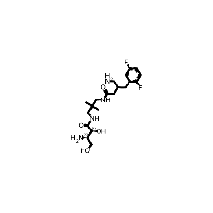 CC(C)(CNC(=O)CC(CN)Cc1cc(F)ccc1F)CNC(=O)[C@@H](O)[C@H](N)CO